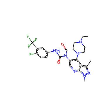 CCN1CCN(c2c(N(C=O)C(=O)Nc3ccc(F)c(C(F)(F)F)c3)cnc3c2c(C)nn3C)CC1